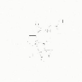 O=C(O)CNC(=O)[C@@H]1C[C@@H](F)CN1C(=O)C1(C(F)(F)F)CC1